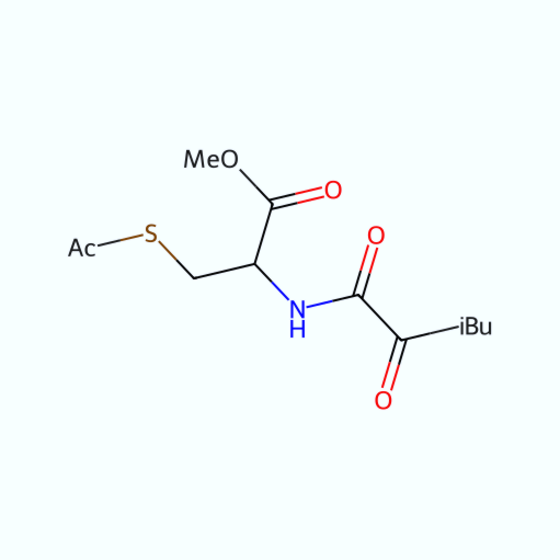 CCC(C)C(=O)C(=O)NC(CSC(C)=O)C(=O)OC